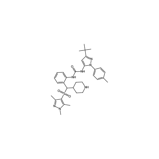 Cc1ccc(-n2nc(C(C)(C)C)cc2NC(=O)Nc2ccccc2C(C2CCNCC2)S(=O)(=O)c2c(C)nn(C)c2C)cc1